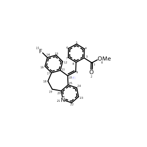 COC(=O)c1ccccc1/C=C1\c2ccc(F)cc2CCc2ncccc21